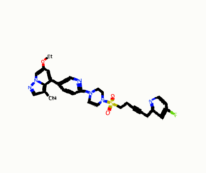 CCOc1cc(-c2ccc(N3CCN(S(=O)(=O)CCC#CCc4cc(F)ccn4)CC3)nc2)c2c(C#N)cnn2c1